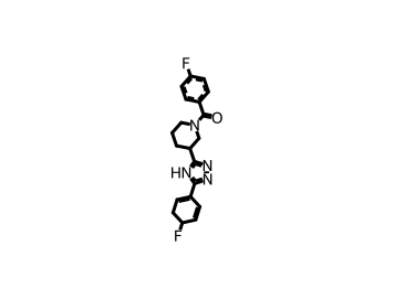 O=C(c1ccc(F)cc1)N1CCCC(c2nnc(C3=CCC(F)C=C3)[nH]2)C1